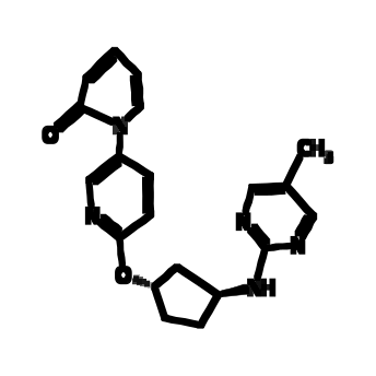 Cc1cnc(N[C@H]2CC[C@H](Oc3ccc(-n4ccccc4=O)cn3)C2)nc1